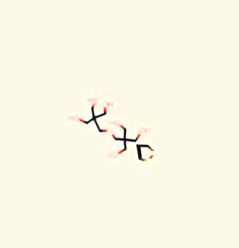 C1=CSSC1.OCC(CO)(CO)COCC(CO)(CO)CO